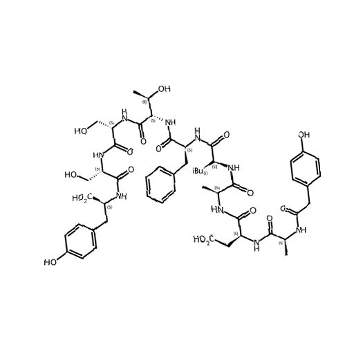 CC[C@H](C)[C@H](NC(=O)[C@H](C)NC(=O)[C@H](CC(=O)O)NC(=O)[C@H](C)NC(=O)Cc1ccc(O)cc1)C(=O)N[C@@H](Cc1ccccc1)C(=O)N[C@H](C(=O)N[C@@H](CO)C(=O)N[C@@H](CO)C(=O)N[C@@H](Cc1ccc(O)cc1)C(=O)O)[C@@H](C)O